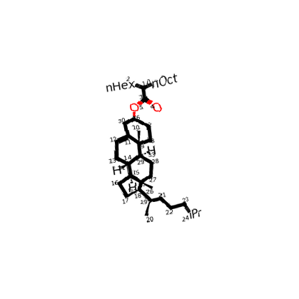 CCCCCCCCC(CCCCCC)C(=O)O[C@H]1CC[C@@]2(C)C(=CC[C@H]3[C@@H]4CC[C@H]([C@H](C)CCCC(C)C)[C@@]4(C)CC[C@@H]32)C1